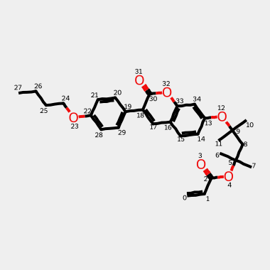 C=CC(=O)OC(C)(C)CC(C)(C)Oc1ccc2cc(-c3ccc(OCCCC)cc3)c(=O)oc2c1